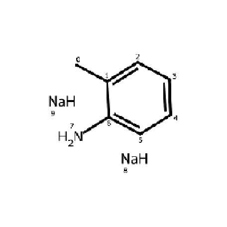 Cc1ccccc1N.[NaH].[NaH]